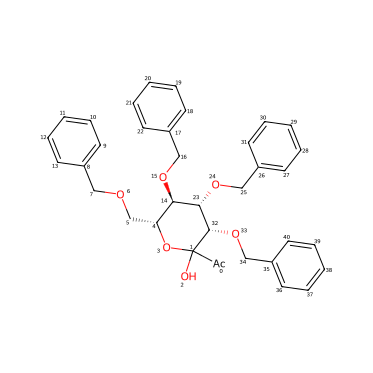 CC(=O)C1(O)O[C@H](COCc2ccccc2)[C@@H](OCc2ccccc2)[C@H](OCc2ccccc2)[C@@H]1OCc1ccccc1